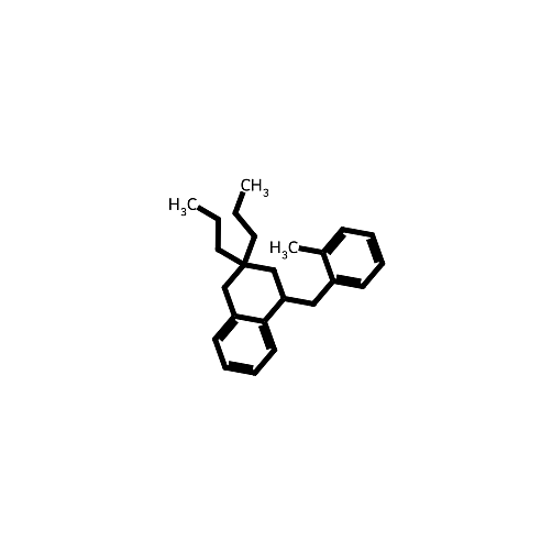 CCCC1(CCC)Cc2ccccc2C(Cc2ccccc2C)C1